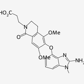 COc1cc2c(c(OC)c1Oc1cccc3c1nc(N)n3C)CCN(CCC(=O)O)C2=O